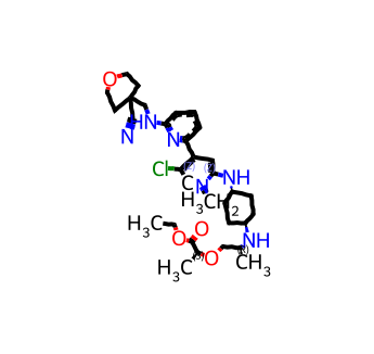 C=N/C(=C\C(=C(/C)Cl)c1cccc(NCC2(C#N)CCOCC2)n1)N[C@H]1CC[C@H](N[C@H](C)CO[C@@H](C)C(=O)OCC)CC1